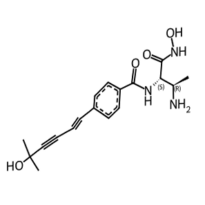 C[C@@H](N)[C@H](NC(=O)c1ccc(C#CC#CC(C)(C)O)cc1)C(=O)NO